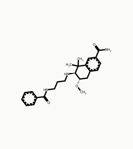 CO[C@H]1Cc2ccc(C(N)=O)cc2C(C)(C)[C@@H]1NCCCNC(=O)c1ccccc1